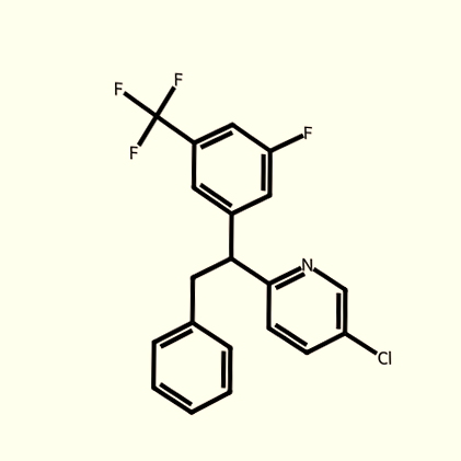 Fc1cc(C(Cc2ccccc2)c2ccc(Cl)cn2)cc(C(F)(F)F)c1